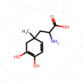 CC1(CC(N)C(=O)O)C=CC(O)=C(O)C1